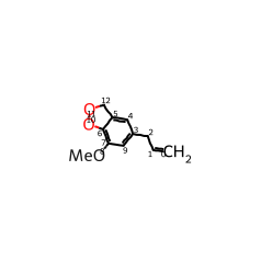 C=CCc1cc2c(c(OC)c1)OOC2